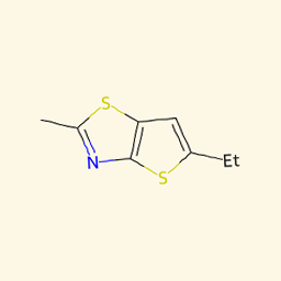 CCc1cc2sc(C)nc2s1